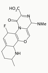 CNC1N=C(C(=O)O)C(=O)N2C1=COC1=C2C(F)C=C2CCC(C)NC21